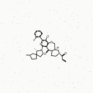 C=CC(=O)N1CCN2C(=O)c3c(N4CCC5(CCN(C)C5)[C@@H]4C)nc(-c4ccccc4F)c(Cl)c3OC[C@H]2C1